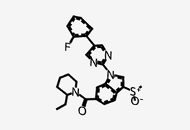 CCC1CCCCN1C(=O)c1ccc2c([S+](C)[O-])cn(-c3ncc(-c4ccccc4F)cn3)c2c1